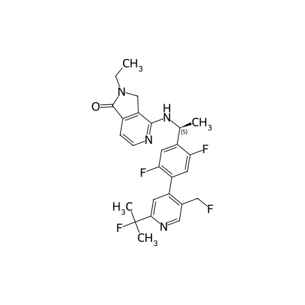 CCN1Cc2c(ccnc2N[C@@H](C)c2cc(F)c(-c3cc(C(C)(C)F)ncc3CF)cc2F)C1=O